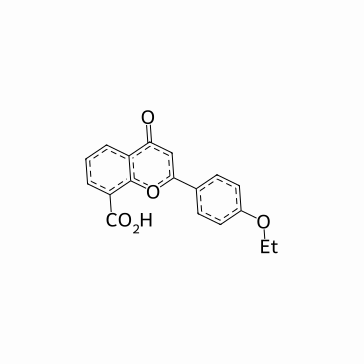 CCOc1ccc(-c2cc(=O)c3cccc(C(=O)O)c3o2)cc1